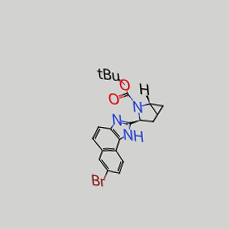 CC(C)(C)OC(=O)N1[C@@H]2CC2C[C@H]1c1nc2ccc3cc(Br)ccc3c2[nH]1